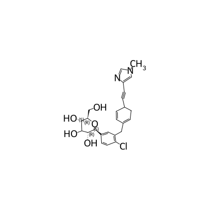 Cn1cnc(C#CC2C=CC(Cc3cc([C@@H]4O[C@H](CO)[C@@H](O)C(O)[C@H]4O)ccc3Cl)=CC2)c1